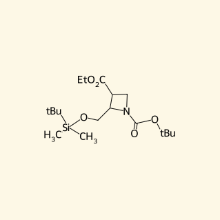 CCOC(=O)C1CN(C(=O)OC(C)(C)C)C1CO[Si](C)(C)C(C)(C)C